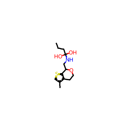 CCCC(O)(O)NCC1OCCc2c(C)csc21